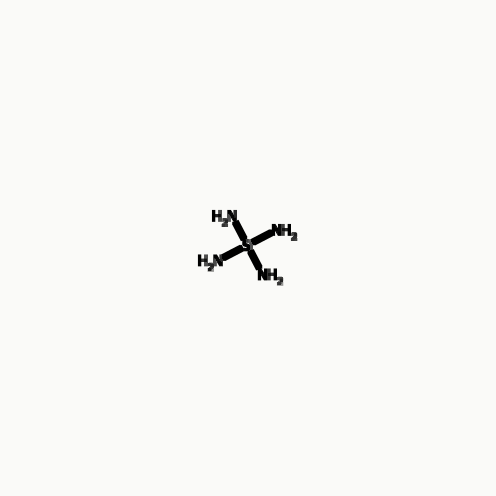 N[Si](N)(N)N